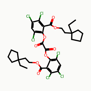 CCC1(CCOC(=O)c2c(Cl)c(Cl)cc(Cl)c2OC(=O)C(=O)Oc2c(Cl)cc(Cl)c(Cl)c2C(=O)OCCC2(CC)CCCC2)CCCC1